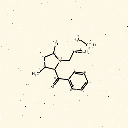 C=CCN1C(CC)CC(C)C1C(=O)c1ccccc1.CC(=O)O